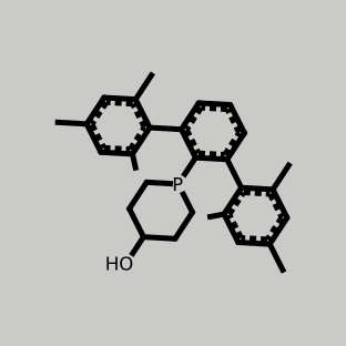 Cc1cc(C)c(-c2cccc(-c3c(C)cc(C)cc3C)c2P2CCC(O)CC2)c(C)c1